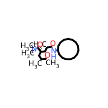 CC(=O)C(C)CC(CC(C)C(=O)NC1CCCCCCCCCCCCCC1)C(=O)N(C)C